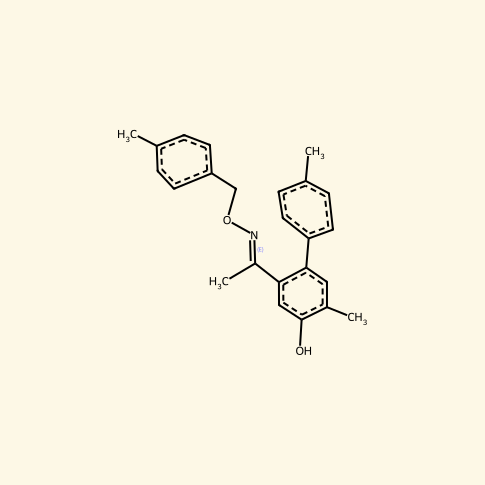 C/C(=N\OCc1ccc(C)cc1)c1cc(O)c(C)cc1-c1ccc(C)cc1